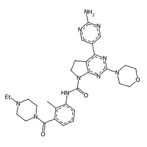 CCN1CCN(C(=O)c2cccc(NC(=O)N3CCc4c(-c5cnc(N)nc5)nc(N5CCOCC5)nc43)c2C)CC1